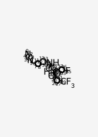 CN1CCN(Cc2ccc3c(c2)CC[C@@H](NC(=O)C[C@@H](NS(=O)(=O)c2cccc(C(F)(F)F)c2)c2ccc(F)cc2)C3)CC1